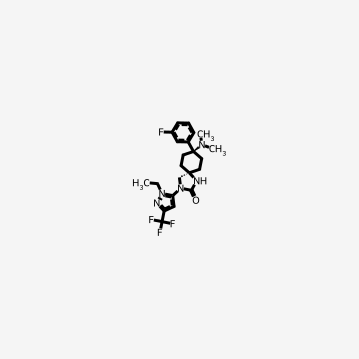 CCn1nc(C(F)(F)F)cc1N1C[C@]2(CC[C@](c3cccc(F)c3)(N(C)C)CC2)NC1=O